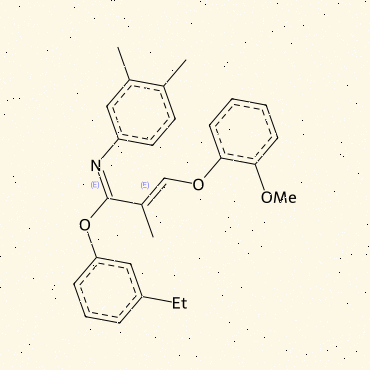 CCc1cccc(OC(=N/c2ccc(C)c(C)c2)/C(C)=C/Oc2ccccc2OC)c1